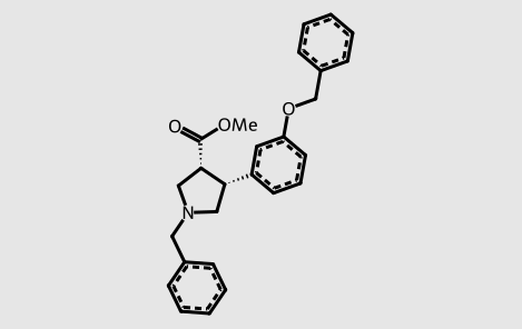 COC(=O)[C@H]1CN(Cc2ccccc2)C[C@H]1c1cccc(OCc2ccccc2)c1